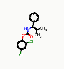 CC(C)=C(NC(=O)Oc1ccc(Cl)cc1Cl)c1ccccc1